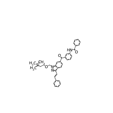 C[Si](C)(C)CCOCn1nc(/C=C/c2ccccc2)c2ccc(C(=O)c3cccc(NC(=O)c4ccccc4)c3)cc21